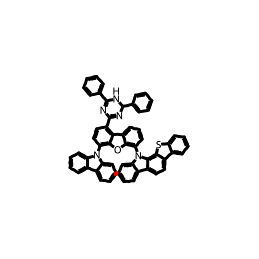 c1ccc(C2=NC(c3ccc(-n4c5ccccc5c5ccccc54)c4oc5c(-n6c7ccccc7c7ccc8c9ccccc9sc8c76)cccc5c34)=NC(c3ccccc3)N2)cc1